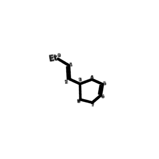 CCC=CC1CC=CCC1